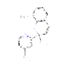 Cc1ccnc(C2(C)C=Cc3cccc(C#N)c3N2)c1